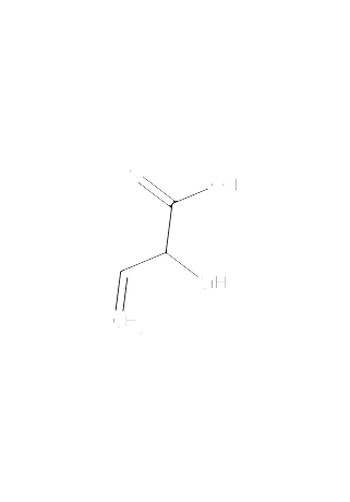 C=CC([SiH3])C(O)=S